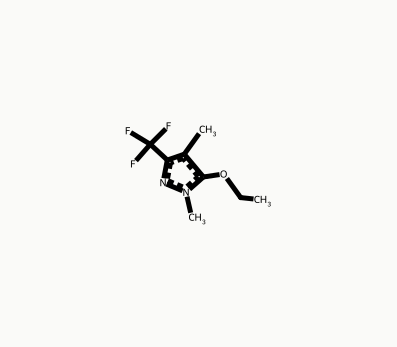 CCOc1c(C)c(C(F)(F)F)nn1C